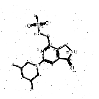 CC1CC(C)CN(c2cc3c(c(COS(C)(=O)=O)n2)CNC3=O)C1